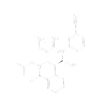 CC(C)CN1C(=O)c2ccccc2[C@H](C(O)Nc2cccc(C#N)c2)[C@H]1/C(C=N)=C/N